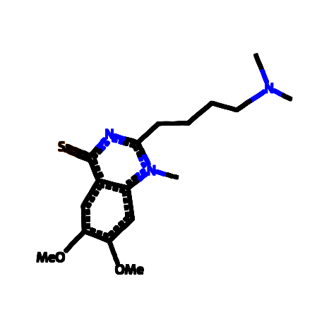 COc1cc2c(=S)nc(CCCCN(C)C)n(C)c2cc1OC